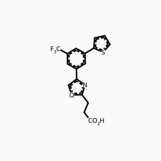 O=C(O)CCc1nc(-c2cc(-c3cccs3)cc(C(F)(F)F)c2)co1